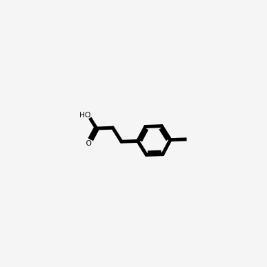 Cc1ccc(CCC(=O)O)cc1